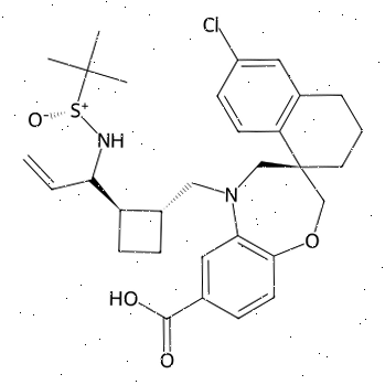 C=CC(N[S@+]([O-])C(C)(C)C)[C@@H]1CC[C@H]1CN1C[C@@]2(CCCc3cc(Cl)ccc32)COc2ccc(C(=O)O)cc21